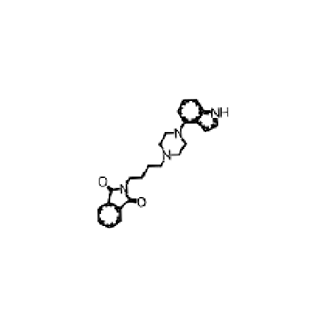 O=C1c2ccccc2C(=O)N1CCCCN1CCN(c2cccc3[nH]ccc23)CC1